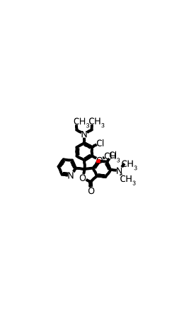 CCN(CC)c1ccc(C2(c3ccccn3)OC(=O)c3cc(N(C)C)c(Cl)cc32)c(OC)c1Cl